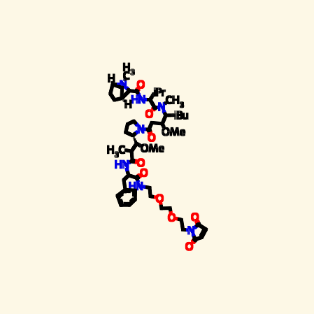 CCC(C)C(C(CC(=O)N1CCC[C@H]1C(OC)C(C)C(=O)NC(Cc1ccccc1)C(=O)NCCOCCOCCN1C(=O)C=CC1=O)OC)N(C)C(=O)C(NC(=O)C1[C@H]2CC[C@H](C2)N1C)C(C)C